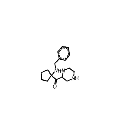 O=C(C1CNCC[N]1)C1(NCc2ccccc2)CCCC1